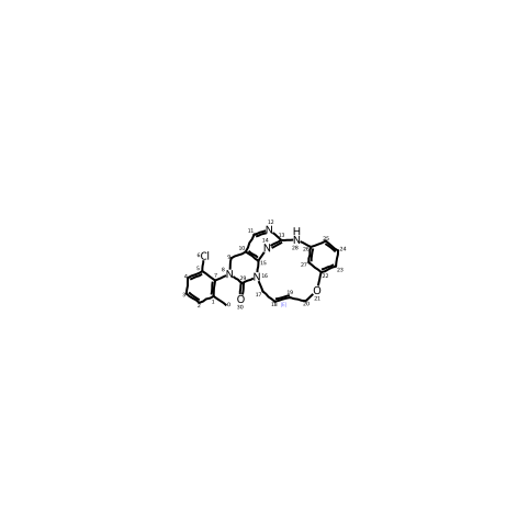 Cc1cccc(Cl)c1N1Cc2cnc3nc2N(C/C=C/COc2cccc(c2)N3)C1=O